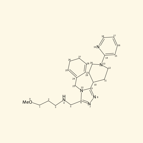 COCCCNCc1nnc(C2CCN(c3ccccn3)CC2)n1CC1=CCCC=C1